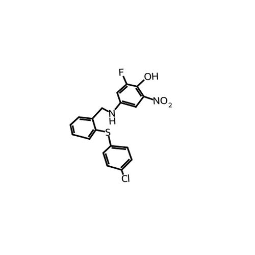 O=[N+]([O-])c1cc(NCc2ccccc2Sc2ccc(Cl)cc2)cc(F)c1O